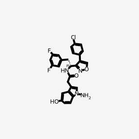 Nn1cc(CC(=O)N[C@H](Cc2cc(F)cc(F)c2)c2nocc2-c2ccc(Cl)cc2)c2cc(O)ccc21